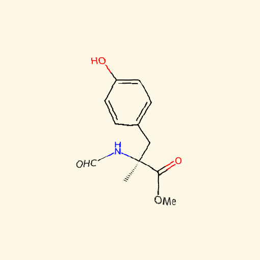 COC(=O)[C@](C)(Cc1ccc(O)cc1)NC=O